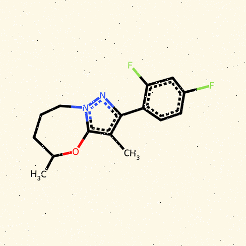 Cc1c(-c2ccc(F)cc2F)nn2c1OC(C)CCC2